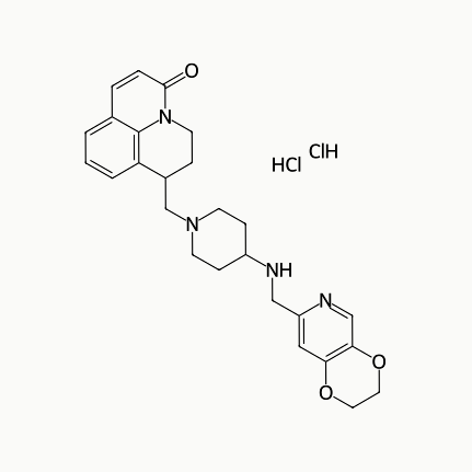 Cl.Cl.O=c1ccc2cccc3c2n1CCC3CN1CCC(NCc2cc3c(cn2)OCCO3)CC1